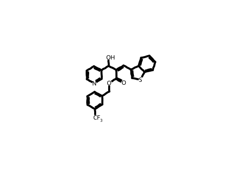 O=C(OCc1cccc(C(F)(F)F)c1)/C(=C\c1csc2ccccc12)C(O)c1cccnc1